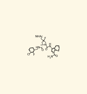 CC(=O)NC[C@@]1(F)C[C@@H](C(=O)NCc2cccc(Cl)c2F)N(C(=O)Nc2cn(C(N)=O)c3ccccc23)C1